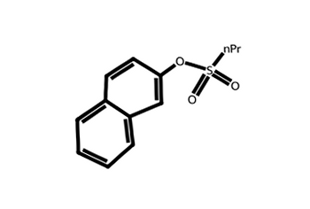 CCCS(=O)(=O)Oc1ccc2ccccc2c1